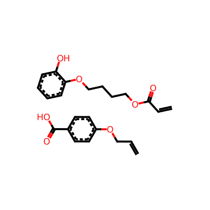 C=CC(=O)OCCCCOc1ccccc1O.C=CCOc1ccc(C(=O)O)cc1